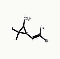 CC/C(C#N)=C/C1C(C(=O)O)C1(C)C